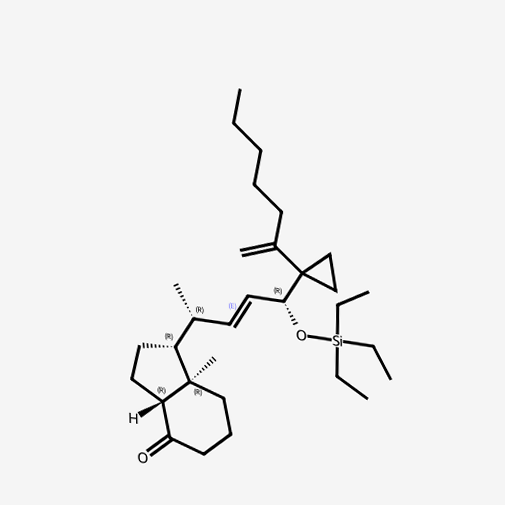 C=C(CCCCC)C1([C@@H](/C=C/[C@@H](C)[C@H]2CC[C@H]3C(=O)CCC[C@]23C)O[Si](CC)(CC)CC)CC1